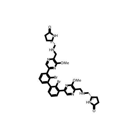 COc1nc(-c2cccc(-c3cccc(-c4cnc(CNC[C@@H]5CCC(=O)N5)c(OC)n4)c3Br)c2Br)cnc1CNC[C@@H]1CCC(=O)N1